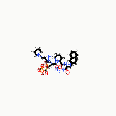 NC(=O)C(Cc1ccc2ccccc2c1)NC(=O)C1CCCCN1C(=O)C(CSCP(=O)(O)O)NC(=O)CCN1CCCCC1